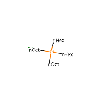 CCCCCCCC[P+](CCCCCC)(CCCCCC)CCCCCCCC.[Cl-]